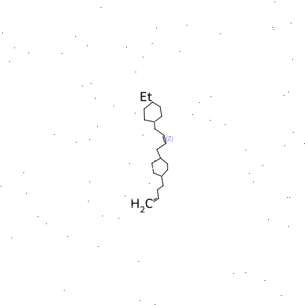 C=CCCC1CCC(C/C=C\CC2CCC(CC)CC2)CC1